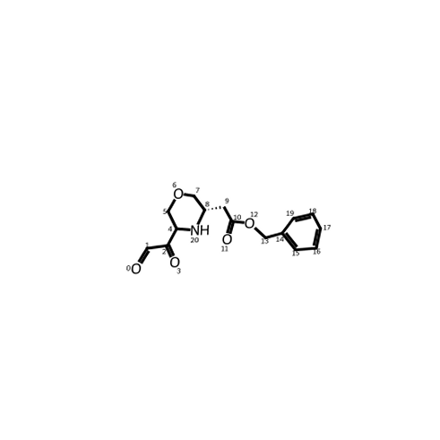 O=CC(=O)C1COC[C@H](CC(=O)OCc2ccccc2)N1